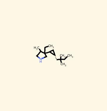 CCC(C)(C)C[C@H]1CC1C1(CC)CNCC1C